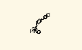 O=C(Nc1ccccc1)SCCCN1CCN(CCc2ccc(Cl)cc2)CC1